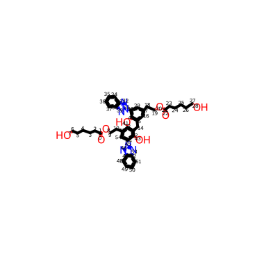 O=C(CCCCCO)OCCc1cc(Cc2cc(CCOC(=O)CCCCCO)cc(-n3nc4ccccc4n3)c2O)c(O)c(-n2nc3ccccc3n2)c1